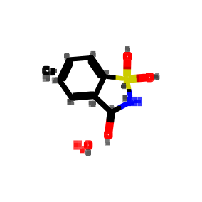 O.O=C1NS(=O)(=O)c2ccccc21.[Cu]